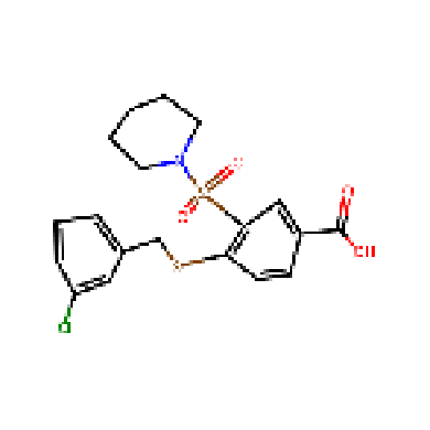 O=C(O)c1ccc(SCc2cccc(Cl)c2)c(S(=O)(=O)N2CCCCC2)c1